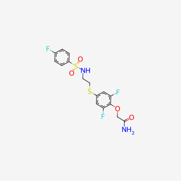 NC(=O)COc1c(F)cc(SCCNS(=O)(=O)c2ccc(F)cc2)cc1F